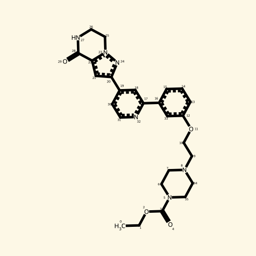 CCOC(=O)N1CCN(CCOc2cccc(-c3cc(-c4cc5n(n4)CCNC5=O)ccn3)c2)CC1